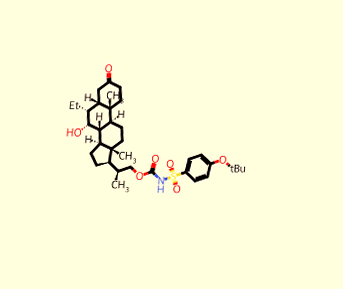 CC[C@H]1[C@@H](O)[C@@H]2[C@H](CC[C@]3(C)[C@@H]([C@H](C)COC(=O)NS(=O)(=O)c4ccc(OC(C)(C)C)cc4)CC[C@@H]23)[C@@]2(C)CCC(=O)C[C@@H]12